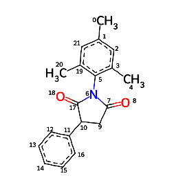 Cc1cc(C)c(N2C(=O)CC(c3ccccc3)C2=O)c(C)c1